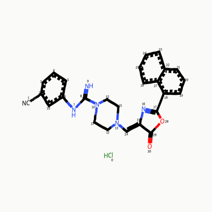 Cl.N#Cc1cccc(NC(=N)N2CCN(C=C3N=C(c4cccc5ccccc45)OC3=O)CC2)c1